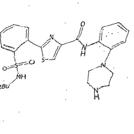 CC(C)(C)NS(=O)(=O)c1ccccc1-c1nc(C(=O)Nc2ccccc2N2CCNCC2)cs1